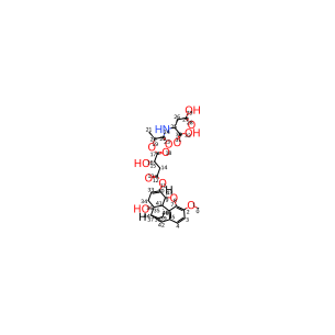 COc1ccc2c3c1O[C@@H]1C(OC(=O)C[C@H](O)C(=O)O[C@@H](C)C(=O)N[C@@H](CC(=O)O)C(=O)O)=CC[C@]4(O)[C@@H](CCC[C@@]314)C2